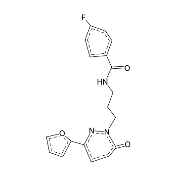 O=C(NCCCn1nc(-c2ccco2)ccc1=O)c1ccc(F)cc1